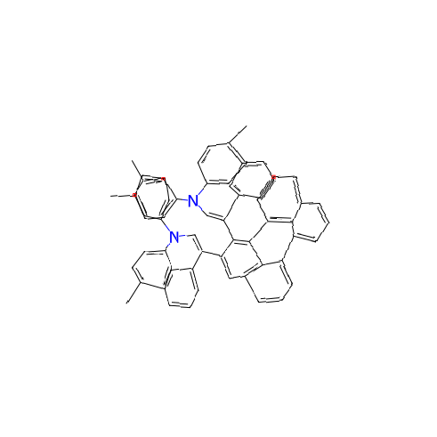 Cc1ccc(N(C=C(c2ccccc2)c2cc3cccc4c5cccc6cccc(c(c2C(=CN(c2ccc(C)cc2)c2ccc(C)cc2)c2ccccc2)c34)c65)c2ccc(C)cc2)cc1